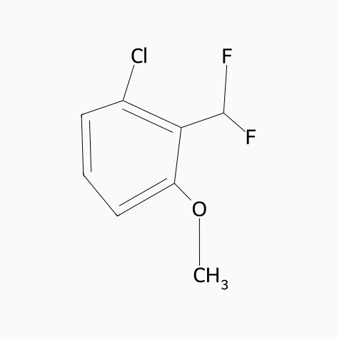 COc1cccc(Cl)c1C(F)F